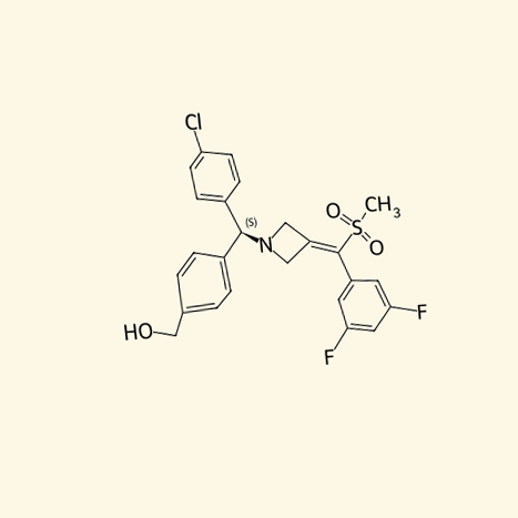 CS(=O)(=O)C(=C1CN([C@H](c2ccc(Cl)cc2)c2ccc(CO)cc2)C1)c1cc(F)cc(F)c1